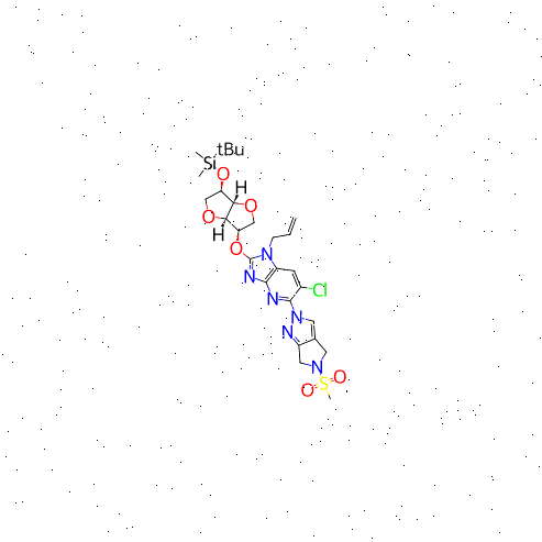 C=CCn1c(O[C@@H]2CO[C@@H]3[C@H]2OC[C@H]3O[Si](C)(C)C(C)(C)C)nc2nc(-n3cc4c(n3)CN(S(C)(=O)=O)C4)c(Cl)cc21